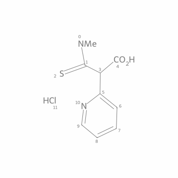 CNC(=S)C(C(=O)O)c1ccccn1.Cl